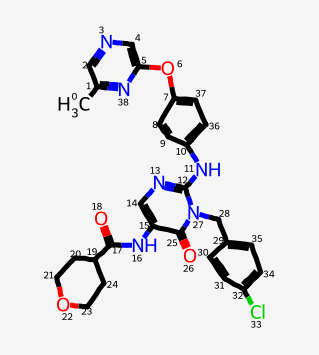 Cc1cncc(Oc2ccc(Nc3ncc(NC(=O)C4CCOCC4)c(=O)n3Cc3ccc(Cl)cc3)cc2)n1